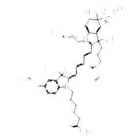 COCC[N+]1=C(/C=C/C=C/C=C2/N(CCCCCC(=O)O)c3ccc(SOC)cc3C2(C)C)C(C)(CCCS(=O)OC)C2=CC(C)(S(=O)(=O)OC)CC=C21